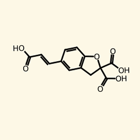 O=C(O)/C=C/c1ccc2c(c1)CC(C(=O)O)(C(=O)O)O2